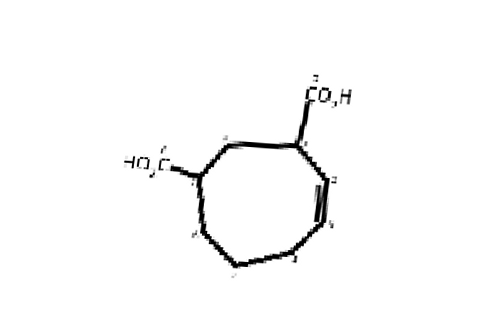 O=C(O)C1C=CCCCC(C(=O)O)C1